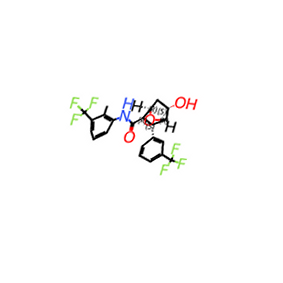 Cc1c(NC(=O)[C@@H]2[C@@H](c3cccc(C(F)(F)F)c3)[C@H]3O[C@@H]2C[C@@H]3O)cccc1C(F)(F)F